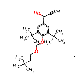 C#CC(O)c1cc(C(C)(C)C)c(OCOCC[Si](C)(C)C)c(C(C)(C)C)c1